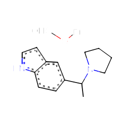 CC(c1ccc2[nH]ccc2c1)N1CCCC1.CCOC=O